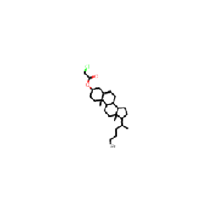 CC(C)CCCC(C)C1CCC2C3CC=C4CC(OC(=O)CCl)CCC4(C)C3CCC12C